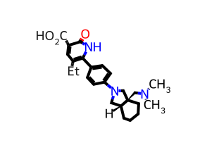 CCc1cc(C(=O)O)c(=O)[nH]c1-c1ccc(N2C[C@H]3CCCC[C@@]3(CN(C)C)C2)cc1